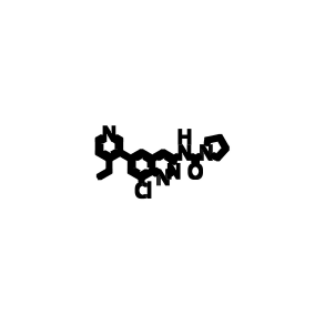 CCc1ccncc1-c1cc(Cl)c2nnc(NC(=O)N3CCCC3)cc2c1